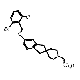 CCc1cccc(Cl)c1COc1ccc2c(c1)CC1(CCN(CC(=O)O)CC1)C2